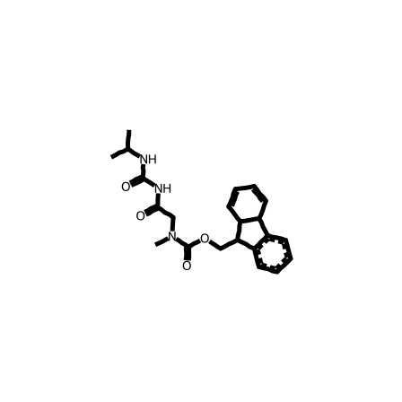 CC(C)NC(=O)NC(=O)CN(C)C(=O)OCC1c2ccccc2C2C=CC=CC21